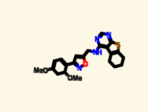 COC1=CC=C(c2cc(CNc3ncnc4sc5c(c34)CCCC5)on2)C(OC)C1